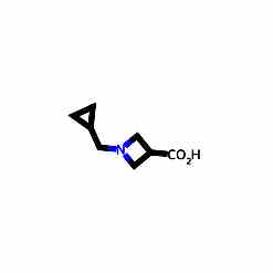 O=C(O)C1CN(CC2CC2)C1